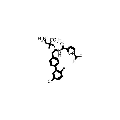 C[C@@](CN)(C[C@@H](Cc1ccc(-c2cc(Cl)ccc2F)cc1)NC(=O)c1ccn(C(F)F)n1)C(=O)O